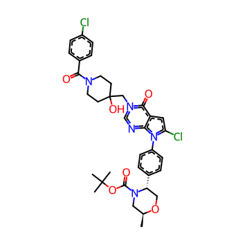 C[C@H]1CN(C(=O)OC(C)(C)C)[C@H](c2ccc(-n3c(Cl)cc4c(=O)n(CC5(O)CCN(C(=O)c6ccc(Cl)cc6)CC5)cnc43)cc2)CO1